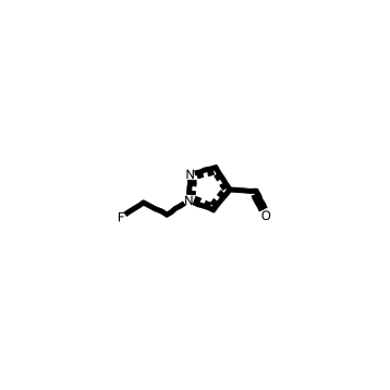 O=Cc1cnn(CCF)c1